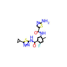 Cc1cc(F)c(C(=O)Nc2nnc(C3CC3)s2)cc1NC(=O)c1cnc(N)s1